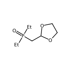 CCP(=O)(CC)CC1OCCO1